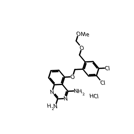 COCOCc1cc(Cl)c(Cl)cc1COc1cccc2nc(N)nc(N)c12.Cl